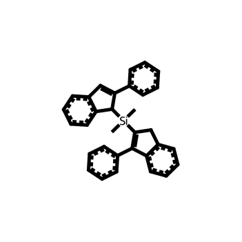 C[Si](C)(C1=C(c2ccccc2)c2ccccc2C1)C1C(c2ccccc2)=Cc2ccccc21